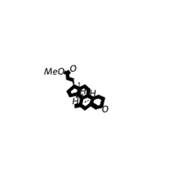 C=C1CC2=CC(=O)CC[C@]2(C)[C@H]2CC[C@]3(C)[C@H](CCC(=O)OC)CC[C@H]3[C@H]12